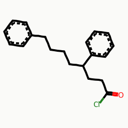 O=C(Cl)CCC(CCCCc1ccccc1)c1ccccc1